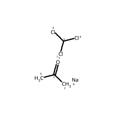 CC(C)=O.ClC(Cl)Cl.[Na]